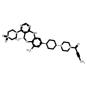 CC#CC(=O)N1CCN([C@H]2CC[C@H](c3cc(C)c4c(c3)Nc3ncnc(N5CCS(=O)(=O)CC5)c3[C@@H](C)O4)CC2)CC1